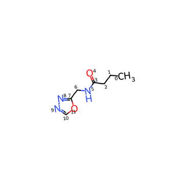 CCCC(=O)NCc1nnco1